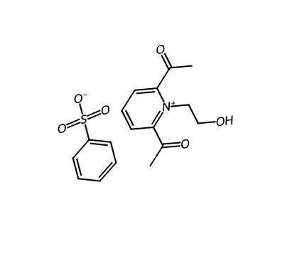 CC(=O)c1cccc(C(C)=O)[n+]1CCO.O=S(=O)([O-])c1ccccc1